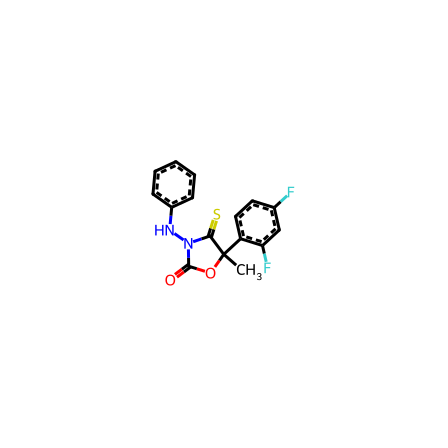 CC1(c2ccc(F)cc2F)OC(=O)N(Nc2ccccc2)C1=S